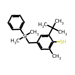 Cc1cc(C[Si](C)(C)c2ccccc2)cc(C(C)(C)C)c1S